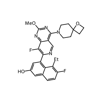 CCc1c(F)ccc2cc(O)cc(-c3ncc4c(N5CCC6(CCO6)CC5)nc(OC)nc4c3F)c12